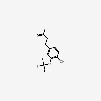 CC(=O)CCc1ccc(O)c(OC(F)(F)F)c1